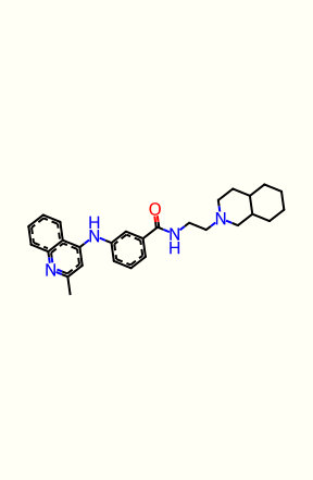 Cc1cc(Nc2cccc(C(=O)NCCN3CCC4CCCCC4C3)c2)c2ccccc2n1